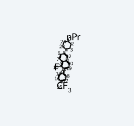 CCC[C@H]1CC[C@H](c2ccc3c(F)c(-c4ccc(C(F)(F)F)cc4)ccc3c2)CC1